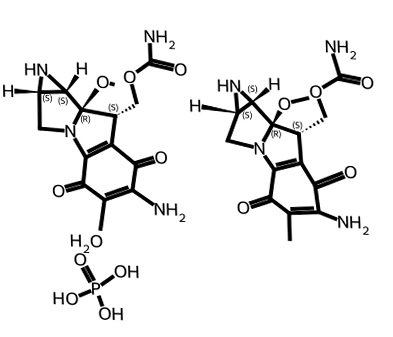 CO[C@@]12[C@H](COC(N)=O)C3=C(C(=O)C(C)=C(N)C3=O)N1C[C@@H]1N[C@@H]12.CO[C@@]12[C@H](COC(N)=O)C3=C(C(=O)C(C)=C(N)C3=O)N1C[C@@H]1N[C@@H]12.O.O=P(O)(O)O